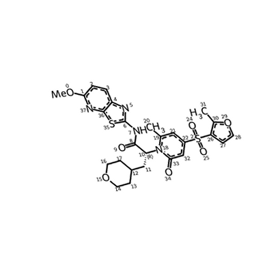 COc1ccc2nc(NC(=O)[C@@H](CC3CCOCC3)n3c(C)cc(S(=O)(=O)c4ccoc4C)cc3=O)sc2n1